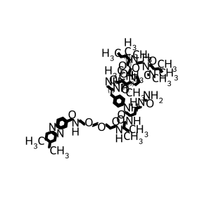 CCC1Cc2nc3cc(C(=O)NCCOCCOCCC(=O)NC(C(=O)NC(CCCNC(N)=O)C(=O)Nc4ccc(C[C@@H](CN)NC(=O)[C@H](C)[C@@H](OC)[C@@H]5CCCN5C(=O)C[C@@H](OC)[C@H]([C@@H](C)CC)N(C)C(=O)CNC(=O)C(C(C)C)N(C)C)cc4)C(C)C)ccc3nc2CC1C